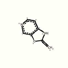 C=C1Nc2ccncc2O1